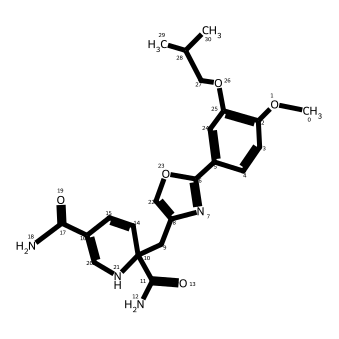 COc1ccc(-c2nc(CC3(C(N)=O)C=CC(C(N)=O)=CN3)co2)cc1OCC(C)C